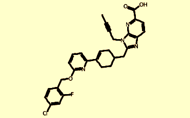 CC#CCn1c(CC2CC=C(c3cccc(OCc4ccc(Cl)cc4F)n3)CC2)nc2ccc(C(=O)O)nc21